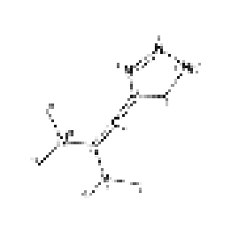 CN(C)C(=C=C1CNN=N1)N(C)C